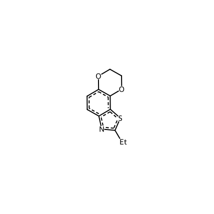 CCc1nc2ccc3c(c2s1)OCCO3